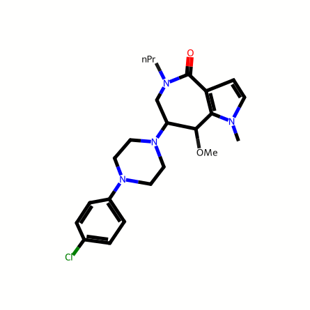 CCCN1CC(N2CCN(c3ccc(Cl)cc3)CC2)C(OC)c2c(ccn2C)C1=O